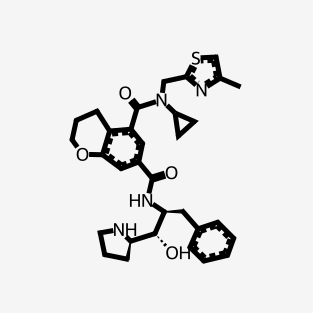 Cc1csc(CN(C(=O)c2cc(C(=O)N[C@@H](Cc3ccccc3)[C@H](O)[C@H]3CCCN3)cc3c2CCCO3)C2CC2)n1